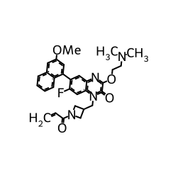 C=CC(=O)N1CC(Cn2c(=O)c(OCCN(C)C)nc3cc(-c4cc(OC)cc5ccccc45)c(F)cc32)C1